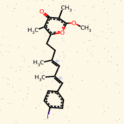 COc1oc(CC/C(C)=C/C(C)=C/c2ccc(I)cc2)c(C)c(=O)c1C